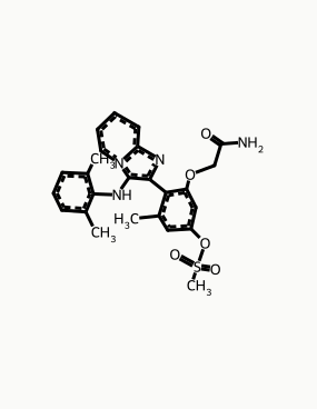 Cc1cccc(C)c1Nc1c(-c2c(C)cc(OS(C)(=O)=O)cc2OCC(N)=O)nc2ccccn12